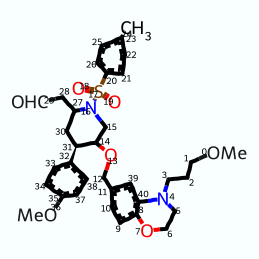 COCCCN1CCOc2ccc(COC3CN(S(=O)(=O)c4ccc(C)cc4)C(CC=O)C[C@@H]3c3ccc(OC)cc3)cc21